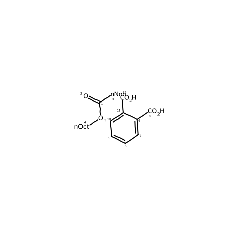 CCCCCCCCCC(=O)OCCCCCCCC.O=C(O)c1ccccc1C(=O)O